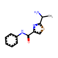 CC(N)c1nc(C(=O)Nc2ccccc2)cs1